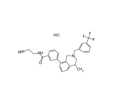 CC1CN(Cc2cccc(C(F)(F)F)c2)Cc2c(-c3cccc(C(=O)NCCC#N)c3)cccc21.Cl